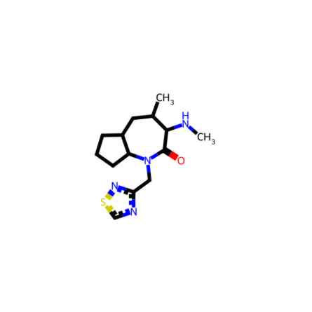 CNC1C(=O)N(Cc2ncsn2)C2CCCC2CC1C